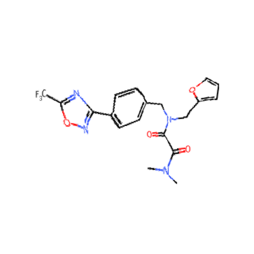 CN(C)C(=O)C(=O)N(Cc1ccc(-c2noc(C(F)(F)F)n2)cc1)Cc1ccco1